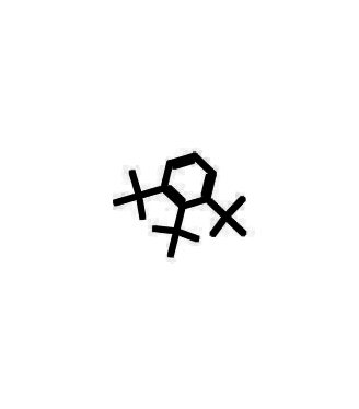 CC(C)(C)c1c[c]cc(C(C)(C)C)c1C(C)(C)C